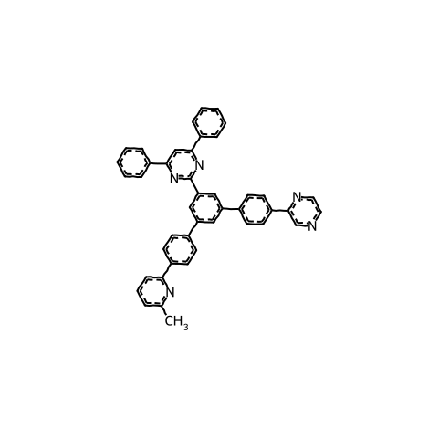 Cc1cccc(-c2ccc(-c3cc(-c4ccc(-c5cnccn5)cc4)cc(-c4nc(-c5ccccc5)cc(-c5ccccc5)n4)c3)cc2)n1